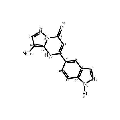 CCn1ncc2cc(-c3cc(=O)n4ncc(C#N)c4[nH]3)ccc21